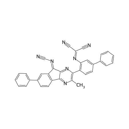 Cc1nc2c(nc1-c1ccc(-c3ccccc3)cc1N=C(C#N)C#N)/C(=N/C#N)c1cc(-c3ccccc3)ccc1-2